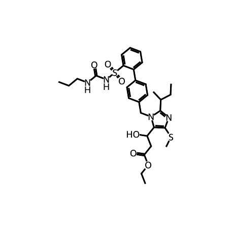 CCCNC(=O)NS(=O)(=O)c1ccccc1-c1ccc(Cn2c(C(C)CC)nc(SC)c2C(O)CC(=O)OCC)cc1